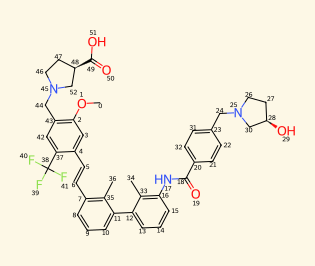 COc1cc(/C=C/c2cccc(-c3cccc(NC(=O)c4ccc(CN5CC[C@@H](O)C5)cc4)c3C)c2C)c(C(F)(F)F)cc1CN1CC[C@@H](C(=O)O)C1